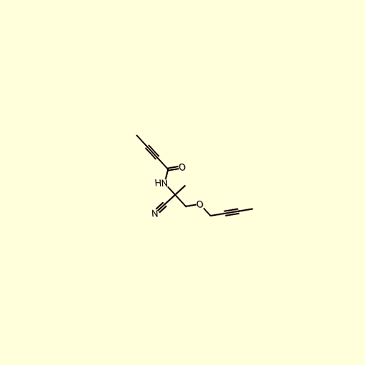 CC#CCOCC(C)(C#N)NC(=O)C#CC